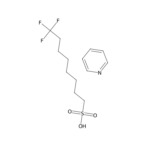 O=S(=O)(O)CCCCCCCC(F)(F)F.c1ccncc1